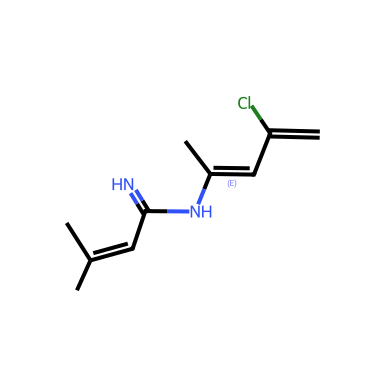 C=C(Cl)/C=C(\C)NC(=N)C=C(C)C